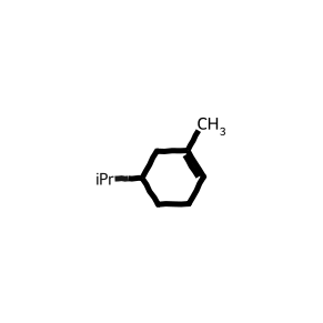 CC1=CCCC(C(C)C)C1